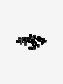 COc1cc2c(CC(=O)NC(C)(C)C(=O)O)c(C)n(C(=O)c3ccc(OC(F)F)cc3)c2cc1Cl